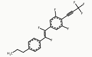 CCCc1ccc(/C(F)=C(\F)c2cc(F)c(C#CC(F)(F)F)c(F)c2)cc1